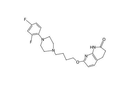 O=C1CCc2ccc(OCCCCN3CCN(c4ccc(F)cc4F)CC3)nc2N1